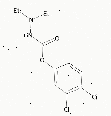 CCN(CC)NC(=O)Oc1ccc(Cl)c(Cl)c1